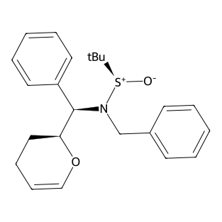 CC(C)(C)[S@@+]([O-])N(Cc1ccccc1)[C@H](c1ccccc1)[C@@H]1CCC=CO1